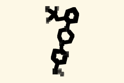 Nc1ccc(N2CCN(c3ccccc3CC(F)(F)F)CC2)nc1